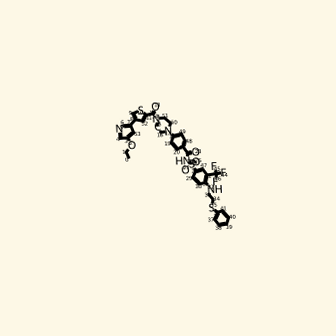 CCOc1cncc(-c2csc(C(=O)N3CCN(c4ccc(C(=O)NS(=O)(=O)c5ccc(NCCSc6ccccc6)c(C(F)(F)F)c5)cc4)CC3)c2)c1